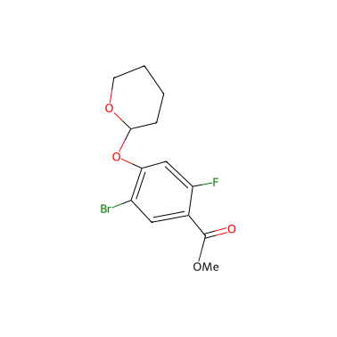 COC(=O)c1cc(Br)c(OC2CCCCO2)cc1F